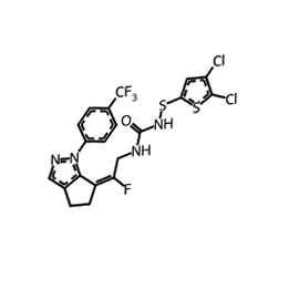 O=C(NC/C(F)=C1/CCc2cnn(-c3ccc(C(F)(F)F)cc3)c21)NSc1cc(Cl)c(Cl)s1